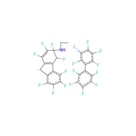 CCNC1(F)C(F)=C(F)C2=C(c3c(F)c(F)c(F)c(F)c3[CH]2)C1F.Fc1c(F)c(F)c(-c2c(F)c(F)c(F)c(F)c2F)c(F)c1F